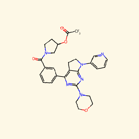 O=C(c1cccc(-c2nc(N3CCOCC3)nc3c2CCN3c2cccnc2)c1)N1CCC(OC(=O)C(F)(F)F)C1